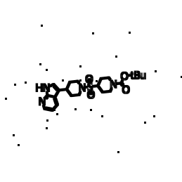 CC(C)(C)OC(=O)N1CCC(S(=O)(=O)N2CCC(c3c[nH]c4ncccc34)CC2)CC1